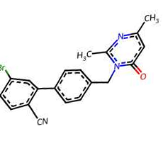 Cc1cc(=O)n(Cc2ccc(-c3cc(Br)ccc3C#N)cc2)c(C)n1